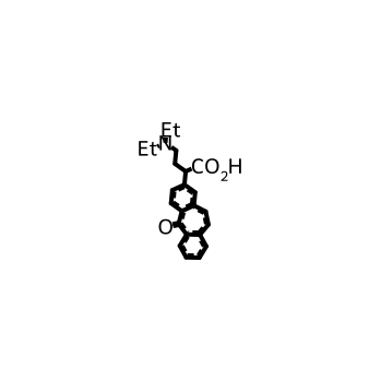 CCN(CC)CCC(C(=O)O)c1ccc2c(=O)c3ccccc3ccc2c1